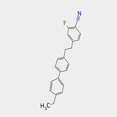 CCc1ccc(-c2ccc(CCc3ccc(C#N)c(F)c3)cc2)cc1